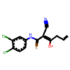 C=CC/C(O)=C(\C#N)C(=S)Nc1ccc(Cl)c(Cl)c1